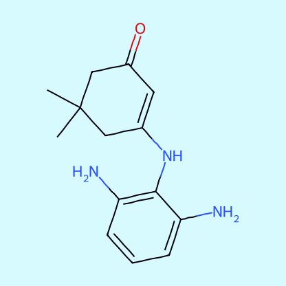 CC1(C)CC(=O)C=C(Nc2c(N)cccc2N)C1